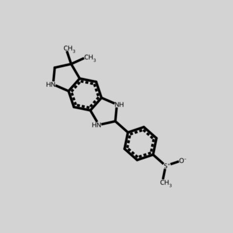 C[S+]([O-])c1ccc(C2Nc3cc4c(cc3N2)C(C)(C)CN4)cc1